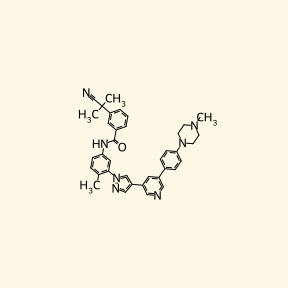 Cc1ccc(NC(=O)c2cccc(C(C)(C)C#N)c2)cc1-n1cc(-c2cncc(-c3ccc(N4CCN(C)CC4)cc3)c2)cn1